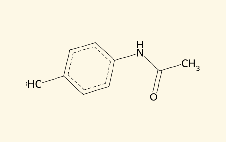 [CH]c1ccc(NC(C)=O)cc1